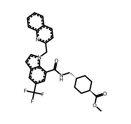 COC(=O)[C@H]1CC[C@H](CNC(=O)c2cc(C(F)(F)F)cc3ccn(Cc4ccc5ccccc5n4)c23)CC1